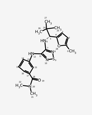 Cc1ccc([C@H](Nc2nsnc2Nc2cccc(C(=O)N(C)C)c2)C(C)(C)C)o1